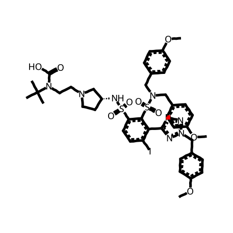 COc1ccc(CN(Cc2ccc(OC)cc2)S(=O)(=O)c2c(S(=O)(=O)N[C@@H]3CCN(CCN(C(=O)O)C(C)(C)C)C3)ccc(I)c2-c2nnn(Cc3ccc(OC)cc3)n2)cc1